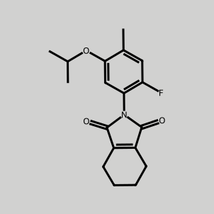 Cc1cc(F)c(N2C(=O)C3=C(CCCC3)C2=O)cc1OC(C)C